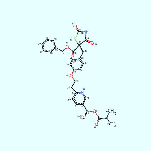 CC(C)C(=O)O[C@@H](C)c1ccc(CCOc2ccc(CC3(C(=O)OCc4ccccc4)SC(=O)NC3=O)cc2)nc1